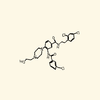 O=C(NCCc1ccc(Cl)cc1Cl)c1ccc(N2CCN(CCO)CC2)c(NC(=O)c2cccc(Cl)c2)c1